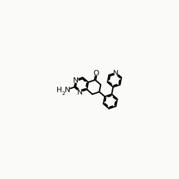 Nc1ncc2c(n1)CC(c1ccccc1-c1ccncc1)CC2=O